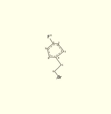 Fc1[c]cc(CCBr)cc1